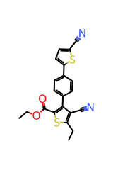 CCOC(=O)c1sc(CC)c(C#N)c1-c1ccc(-c2ccc(C#N)s2)cc1